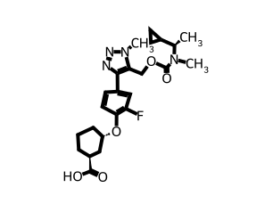 C[C@H](C1CC1)N(C)C(=O)OCc1c(-c2ccc(O[C@H]3CCC[C@H](C(=O)O)C3)c(F)c2)nnn1C